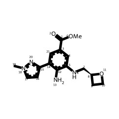 COC(=O)c1cc(NC[C@@H]2CCO2)c(N)c(-c2ccn(C)n2)c1